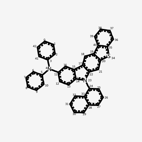 c1ccc(N(c2ccccc2)c2ccc3c(c2)c2cc4c(cc2n3-c2cccc3ccccc23)sc2ccccc24)cc1